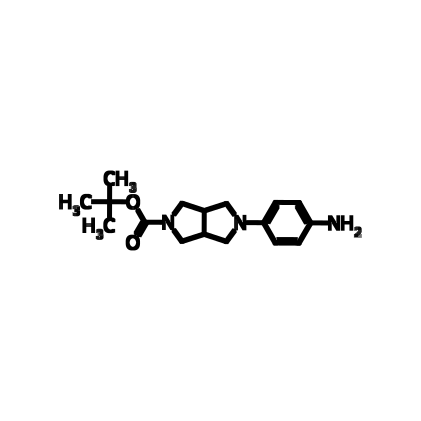 CC(C)(C)OC(=O)N1CC2CN(c3ccc(N)cc3)CC2C1